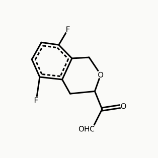 O=CC(=O)C1Cc2c(F)ccc(F)c2CO1